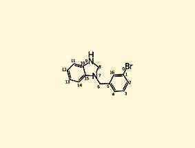 Brc1cccc(CN2[CH]Nc3ccccc32)c1